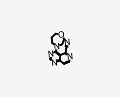 N#Cc1nccc2ncnc(N3CCCOCC3)c12